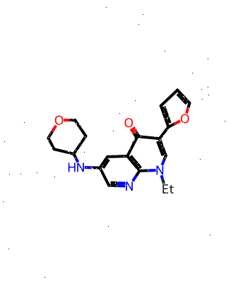 CCn1cc(-c2ccco2)c(=O)c2cc(NC3CCOCC3)cnc21